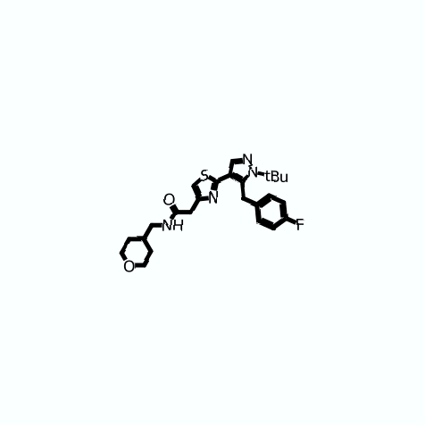 CC(C)(C)n1ncc(-c2nc(CC(=O)NCC3CCOCC3)cs2)c1Cc1ccc(F)cc1